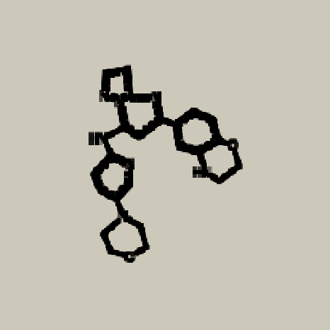 c1cc2nc(-c3ccc4c(c3)NCCO4)cc(Nc3ccc(N4CCOCC4)cn3)n2n1